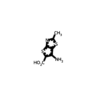 Cc1nc2sc(C(=O)O)c(N)c2s1